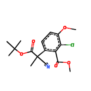 COC(=O)c1c(C(C)(C#N)C(=O)OC(C)(C)C)ccc(OC)c1Cl